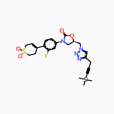 C[Si](C)(C)C#CCc1cn(C[C@H]2CN(c3ccc(C4=CCS(=O)(=O)CC4)c(F)c3)C(=O)O2)nn1